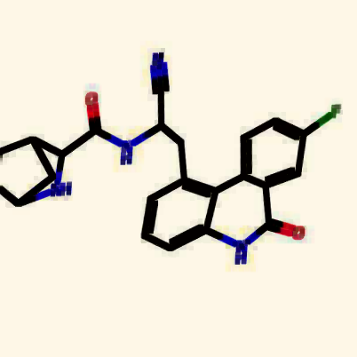 N#CC(Cc1cccc2[nH]c(=O)c3cc(F)ccc3c12)NC(=O)C1NC2CCC1C2